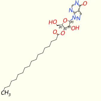 CCCCCCCCCCCCCCCCCC(=O)O[C@H]1[C@@H](O)[C@H](n2ncc3c(=O)[nH]cnc32)O[C@@H]1CO